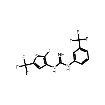 N=C(Nc1cccc(C(F)(F)F)c1)Nc1cc(C(F)(F)F)sc1Cl